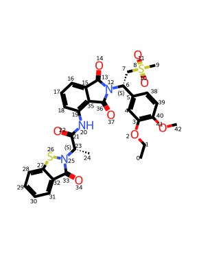 CCOc1cc([C@@H](CS(C)(=O)=O)N2C(=O)c3cccc(NC(=O)[C@H](C)n4sc5ccccc5c4=O)c3C2=O)ccc1OC